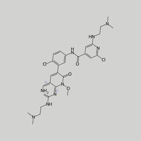 C=C(/N=C1\C(=C/N)C=C(c2cc(NC(=O)c3cc(Cl)nc(NCCN(C)C)c3)ccc2Cl)C(=O)N1OC)NCCN(C)C